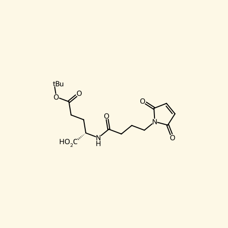 CC(C)(C)OC(=O)CC[C@H](NC(=O)CCCN1C(=O)C=CC1=O)C(=O)O